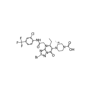 CCc1c(N2CCN(C(=O)O)C[C@H]2C)c(=O)n2nc(Br)nc2n1CC(=O)Nc1ccc(C(F)(F)F)cc1Cl